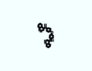 c1ccc2c(Nc3ccc(Oc4ccc(Nc5cnnc6ccccc56)cc4)cc3)cnnc2c1